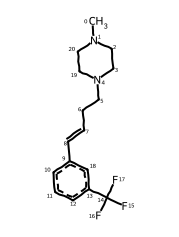 CN1CCN(CCC=Cc2cccc(C(F)(F)F)c2)CC1